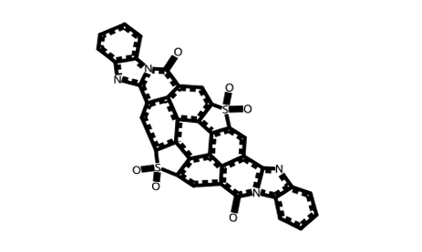 O=c1c2cc3c4c5c(cc6c7c(cc8c(c9c(cc(c2c49)c2nc4ccccc4n12)S8(=O)=O)c57)c(=O)n1c2ccccc2nc61)S3(=O)=O